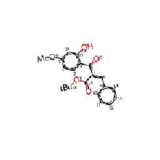 COc1ccc(C(=O)C(=Cc2ccccc2)C(=O)OC(C)(C)C)c(O)c1